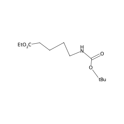 CCOC(=O)CCCCNC(=O)OC(C)(C)C